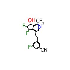 N#Cc1cc(F)cc(CCc2cnc(C(F)(F)F)c3c2[C@@H](F)[C@@H](F)[C@H]3O)c1